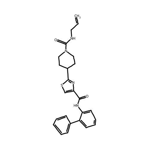 C=CCNC(=O)N1CCC(c2nc(C(=O)Nc3ccccc3-c3ccccc3)cs2)CC1